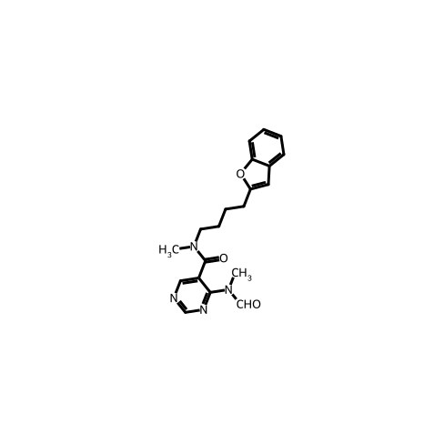 CN(CCCCc1cc2ccccc2o1)C(=O)c1cncnc1N(C)C=O